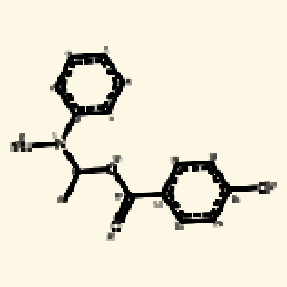 CCCCN(c1ccccc1)C(C)OC(=O)c1ccc(Cl)cc1